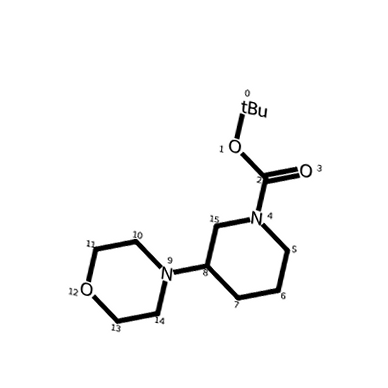 CC(C)(C)OC(=O)N1CCCC(N2CCOCC2)C1